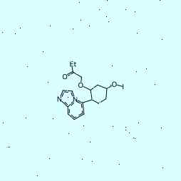 CCC(=O)COC1CC(OI)CCC1c1cccc2nccn12